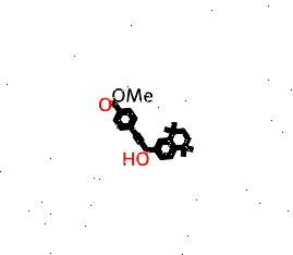 COC(=O)c1ccc(C#CC(O)c2ccc3c(c2)C(C)(C)CCC3(C)C)cc1